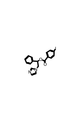 O=C(OC(Cn1ccnc1)c1ccccc1)c1ccc(I)cc1